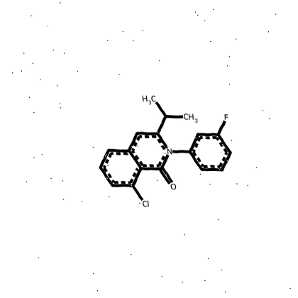 CC(C)c1cc2cccc(Cl)c2c(=O)n1-c1cccc(F)c1